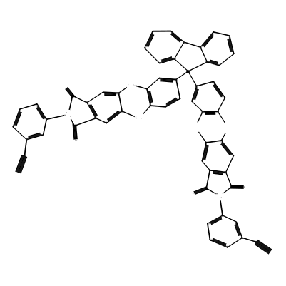 C#Cc1cccc(-n2c(=O)c3cc4oc5ccc(C6(c7ccc8oc9cc%10c(=O)n(-c%11cccc(C#C)c%11)c(=O)c%10cc9oc8c7)c7ccccc7-c7ccccc76)cc5oc4cc3c2=O)c1